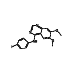 COc1cc2ncnc(Nc3ccc(I)cc3)c2cc1OC